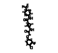 O=C(COc1ccc(Cl)c(F)c1)NC12CC(C(=O)Nc3cnc(C(F)F)cn3)(C1)C2